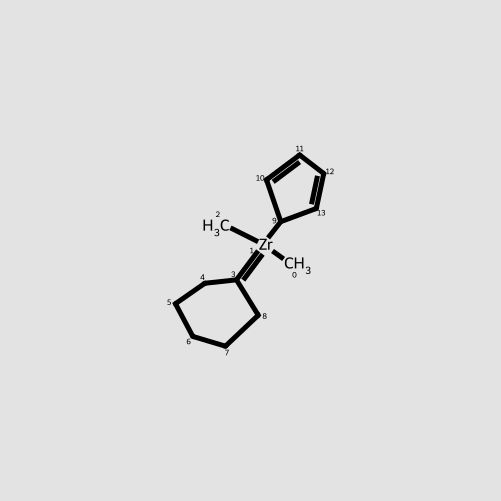 [CH3][Zr]([CH3])(=[C]1CCCCC1)[CH]1C=CC=C1